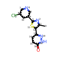 Cc1nc(-c2cncc(Cl)c2)sc1-c1ccc(=O)[nH]n1